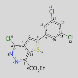 CCOC(=O)c1nnc(Cl)c2cc(-c3cc(Cl)cc(Cl)c3)sc12